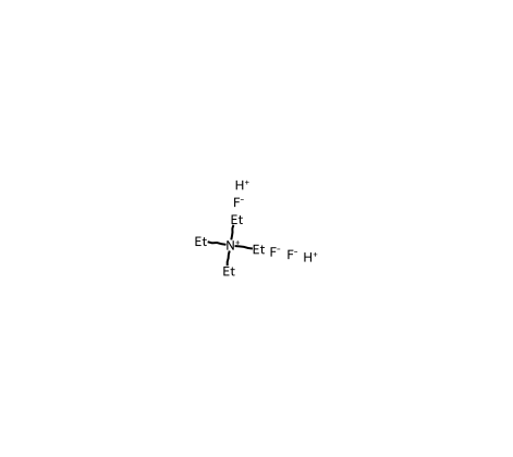 CC[N+](CC)(CC)CC.[F-].[F-].[F-].[H+].[H+]